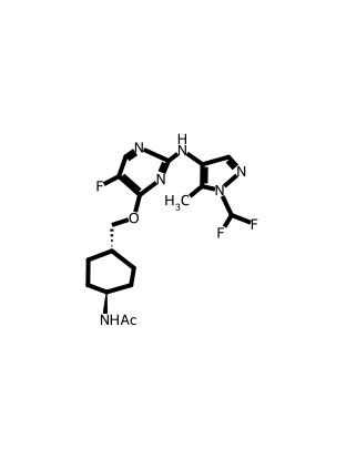 CC(=O)N[C@H]1CC[C@H](COc2nc(Nc3cnn(C(F)F)c3C)ncc2F)CC1